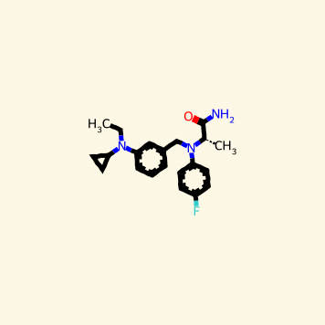 CCN(c1cccc(CN(c2ccc(F)cc2)[C@@H](C)C(N)=O)c1)C1CC1